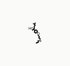 C=CCN(C)CC=CCOc1ccc(C(C)(O)CCC=C(C)C)cc1